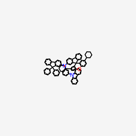 c1ccc(C2(c3ccccc3)c3ccccc3-c3ccc(N(c4cccc(-n5c6ccccc6c6ccccc65)c4)c4ccc5c(c4)C4(c6cc(C7CCCCC7)ccc6Oc6ccc(C7CCCCC7)cc64)c4ccccc4-5)cc32)cc1